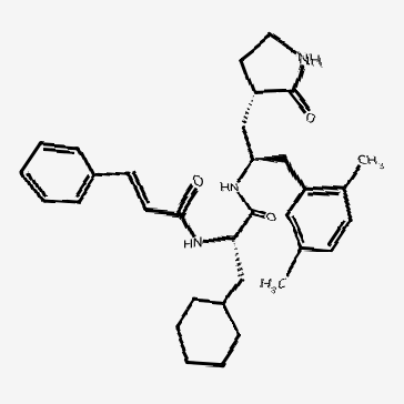 Cc1ccc(C)c(C[C@H](C[C@@H]2CCNC2=O)NC(=O)[C@H](CC2CCCCC2)NC(=O)C=Cc2ccccc2)c1